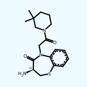 CC1(C)CCCN(C(=O)CN2C(=O)[C@H](N)CSc3ccccc32)C1